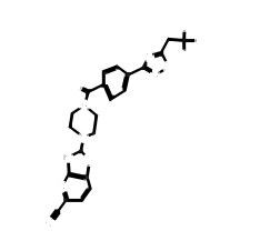 CC(C)(C)Cc1nc(-c2ccc(C(=O)N3CCN(C4Nc5nc(C#N)ccc5O4)CC3)cc2)no1